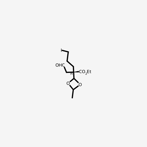 CCOC(=O)[C@@](CC=O)(CCCI)C1OC(C)O1